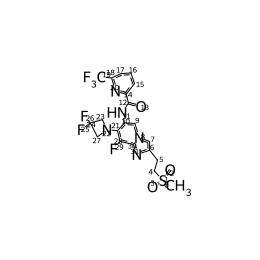 CS(=O)(=O)CCc1cn2cc(NC(=O)c3cccc(C(F)(F)F)n3)c(N3CC(F)(F)C3)c(F)c2n1